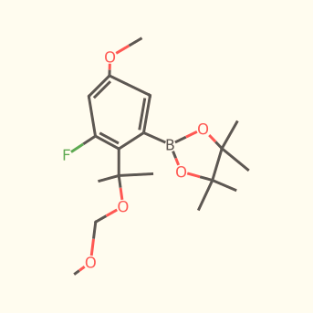 COCOC(C)(C)c1c(F)cc(OC)cc1B1OC(C)(C)C(C)(C)O1